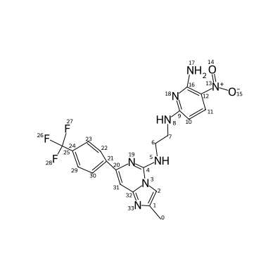 Cc1cn2c(NCCNc3ccc([N+](=O)[O-])c(N)n3)nc(-c3ccc(C(F)(F)F)cc3)cc2n1